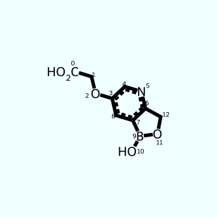 O=C(O)COc1cnc2c(c1)B(O)OC2